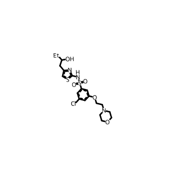 CCC(O)Cc1csc(NS(=O)(=O)c2cc(Cl)cc(OCCN3CCOCC3)c2)n1